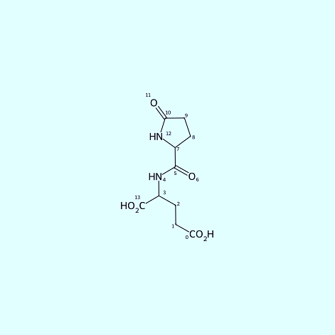 O=C(O)CCC(NC(=O)C1CCC(=O)N1)C(=O)O